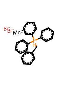 [Br-].[Br-].[Mn+2].c1ccc(C[PH](c2ccccc2)(c2ccccc2)c2ccccc2)cc1